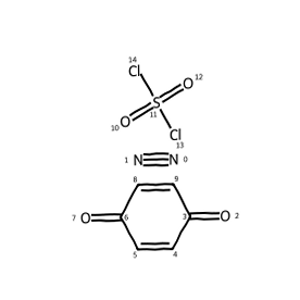 N#N.O=C1C=CC(=O)C=C1.O=S(=O)(Cl)Cl